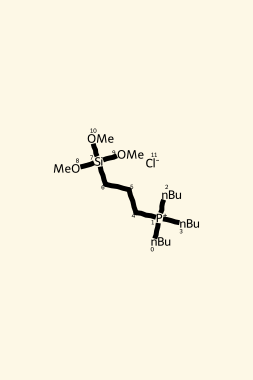 CCCC[P+](CCCC)(CCCC)CCC[Si](OC)(OC)OC.[Cl-]